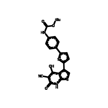 CC(C)(C)OC(=O)Nc1ccc(-c2ccc(-c3csc4[nH]c(=O)c(C#N)c(O)c34)s2)cc1